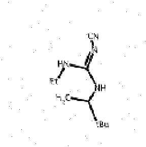 CCN/C(=N\C#N)NC(C)C(C)(C)C